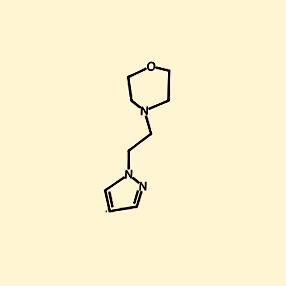 [c]1cnn(CCN2CCOCC2)c1